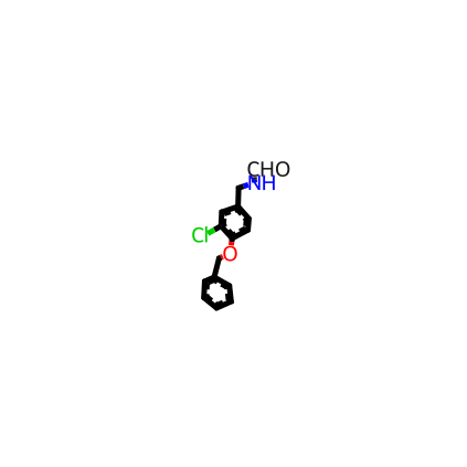 O=CNCc1ccc(OCc2ccccc2)c(Cl)c1